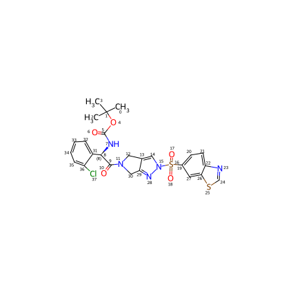 CC(C)(C)OC(=O)N[C@@H](C(=O)N1Cc2cn(S(=O)(=O)c3ccc4ncsc4c3)nc2C1)c1ccccc1Cl